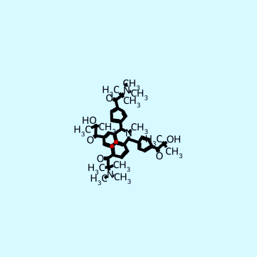 CN(C(c1ccc(C(=O)C(C)(C)O)cc1)c1ccc(C(=O)C(C)(C)N(C)C)cc1)C(c1ccc(C(=O)C(C)(C)N(C)C)cc1)c1cccc(C(=O)C(C)(C)O)c1